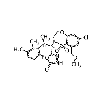 COCc1cc(Cl)cc2c1S(=O)(=O)N([C@H](c1n[nH]c(=O)o1)[C@H](C)c1c(F)ccc(C)c1C)CCO2